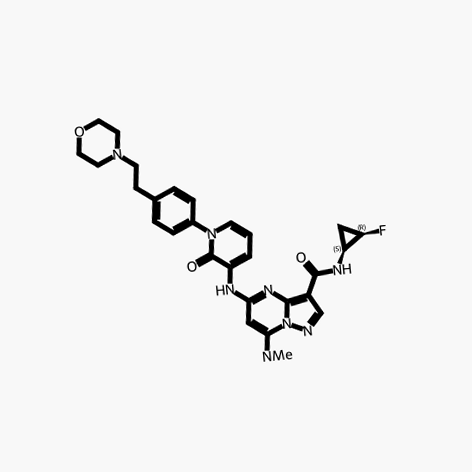 CNc1cc(Nc2cccn(-c3ccc(CCN4CCOCC4)cc3)c2=O)nc2c(C(=O)N[C@H]3C[C@H]3F)cnn12